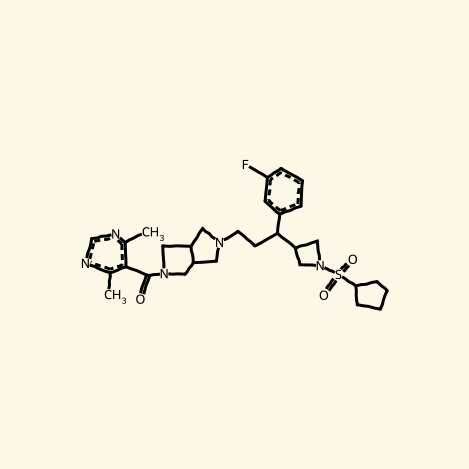 Cc1ncnc(C)c1C(=O)N1CC2CN(CCC(c3cccc(F)c3)C3CN(S(=O)(=O)C4CCCC4)C3)CC2C1